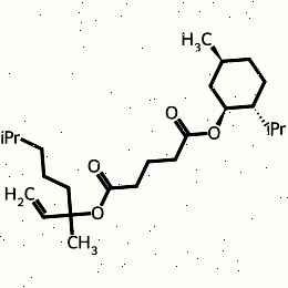 C=CC(C)(CCCC(C)C)OC(=O)CCCC(=O)O[C@H]1C[C@@H](C)CC[C@@H]1C(C)C